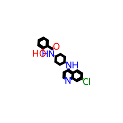 O=C(N[C@H]1CC[C@@H](Nc2ccnc3cc(Cl)ccc23)CC1)c1ccccc1O